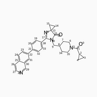 O=C(C1CC1)N1CCC(CN2C(=O)C3(CC3)N=C2c2ccc(-c3ccc4ccncc4c3)cc2)CC1